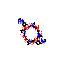 CC(C)C[C@H]1C(=O)O[C@H](Cc2cccc(Cn3cccn3)c2)C(=O)N(C)[C@@H](CC(C)C)C(=O)O[C@H](C)C(=O)N(C)[C@@H](CC(C)C)C(=O)O[C@H](Cc2ccc(Cn3cccn3)cc2)C(=O)N(C)[C@@H](CC(C)C)C(=O)O[C@H](C)C(=O)N1C